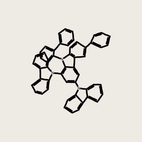 c1ccc(-c2ccc3c(c2)c2cc(-n4c5ccccc5c5ccccc54)cc(-n4c5ccccc5c5ccccc54)c2n3-c2ccccc2-c2ccccc2)cc1